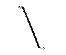 NCCOCCOCCOCCOCCOCCOCCOCCOCCOCCOCCOCCOCCOCCOCCOCCOCCC=O